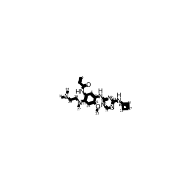 C=CC(=O)Nc1cc(Nc2ncnc(NC34CC(C3)C4)n2)c(OC)cc1N(C)CCN(C)C